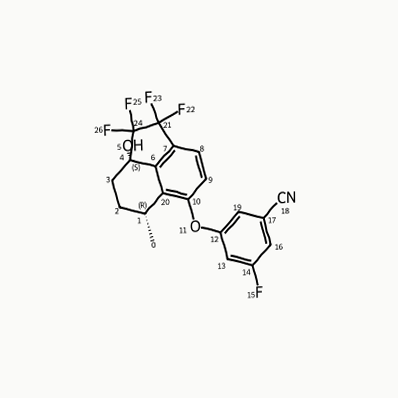 C[C@@H]1CC[C@]2(O)c3c(ccc(Oc4cc(F)cc(C#N)c4)c31)C(F)(F)C2(F)F